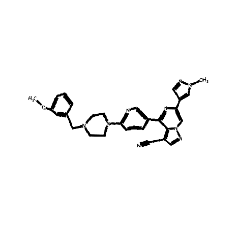 COc1cccc(CN2CCN(c3ccc(-c4nc(-c5cnn(C)c5)cn5ncc(C#N)c45)cn3)CC2)c1